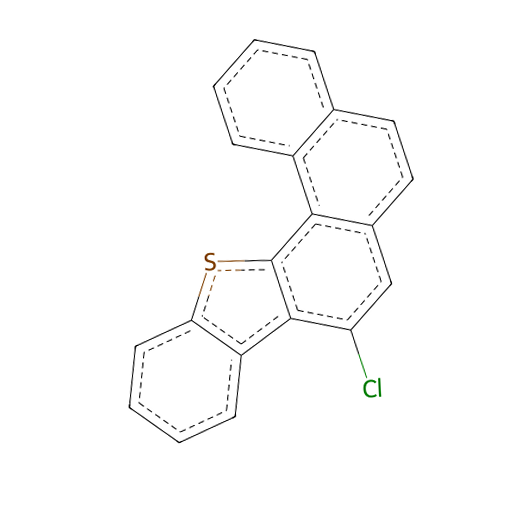 Clc1cc2ccc3ccccc3c2c2sc3ccccc3c12